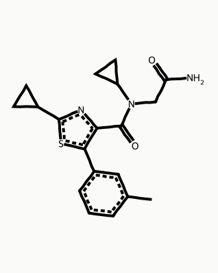 Cc1cccc(-c2sc(C3CC3)nc2C(=O)N(CC(N)=O)C2CC2)c1